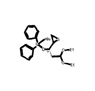 CCOC(C[C@H](O[Si](c1ccccc1)(c1ccccc1)C(C)(C)C)C1CS1)OCC